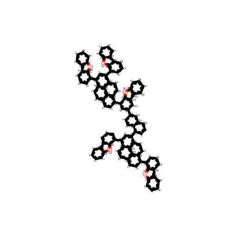 c1cc(-c2cc(-c3cccc4c3oc3ccccc34)c3ccc4ccc(-c5cccc6c5oc5ccccc56)c5ccc2c3c45)c2ccc(-c3cc(-c4ccc5ccc6c(-c7cccc8c7oc7ccccc78)cc(-c7cccc8c7oc7ccccc78)c7ccc4c5c67)c4oc5ccccc5c4c3)cc2c1